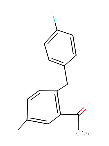 COC(=O)c1cc(C)ccc1Cc1ccc(F)cc1